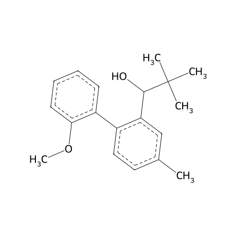 COc1ccccc1-c1ccc(C)cc1C(O)C(C)(C)C